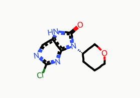 O=c1[nH]c2cnc(Cl)nc2n1[C@H]1CCCOC1